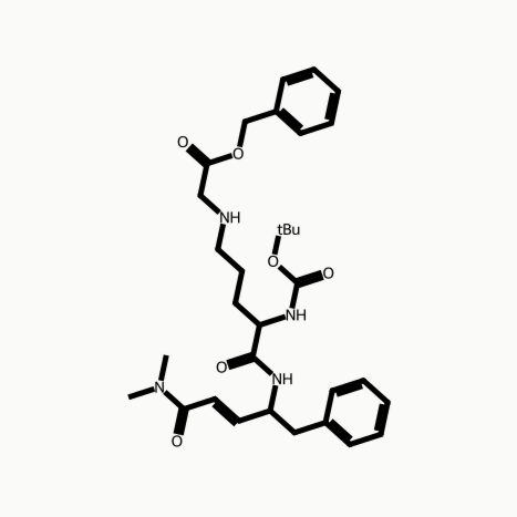 CN(C)C(=O)C=CC(Cc1ccccc1)NC(=O)C(CCCNCC(=O)OCc1ccccc1)NC(=O)OC(C)(C)C